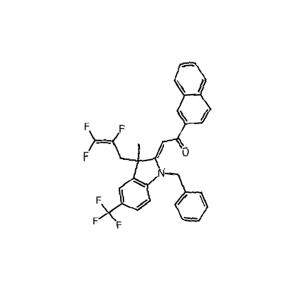 CC1(CC(F)=C(F)F)/C(=C/C(=O)c2ccc3ccccc3c2)N(Cc2ccccc2)c2ccc(C(F)(F)F)cc21